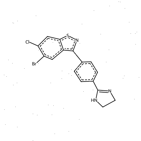 Clc1cc2snc(-c3ccc(C4=NCCN4)cc3)c2cc1Br